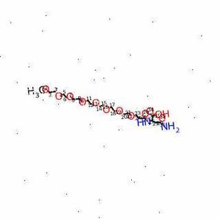 COCCOCCOCCOCCOCCOCCOCCOCCC(=O)NC(CC(N)=O)C(=O)O